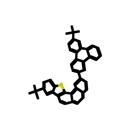 CC(C)(C)c1ccc2sc3c(ccc4ccc5ccc(-c6ccc7c8ccc(C(C)(C)C)cc8c8ccccc8c7c6)cc5c43)c2c1